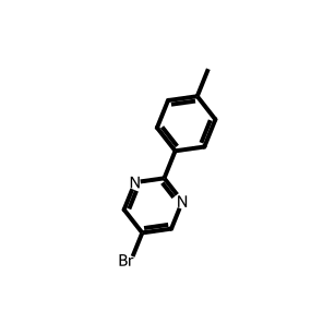 Cc1ccc(-c2ncc(Br)cn2)cc1